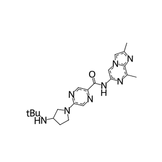 Cc1cn2cc(NC(=O)c3cnc(N4CCC(NC(C)(C)C)C4)cn3)nc(C)c2n1